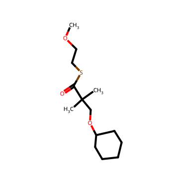 COCCSC(=O)C(C)(C)COC1CCCCC1